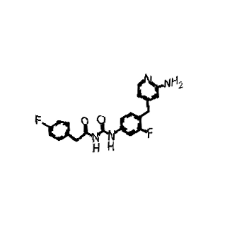 Nc1cc(Cc2ccc(NC(=O)NC(=O)Cc3ccc(F)cc3)cc2F)ccn1